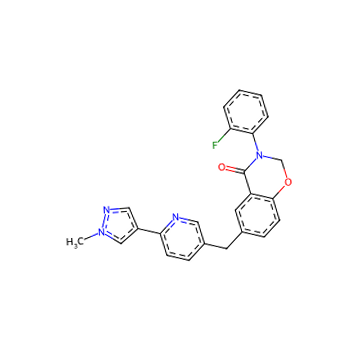 Cn1cc(-c2ccc(Cc3ccc4c(c3)C(=O)N(c3ccccc3F)CO4)cn2)cn1